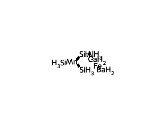 [AlH3].[BaH2].[CaH2].[Fe].[SiH3][Mn]([SiH3])[SiH3]